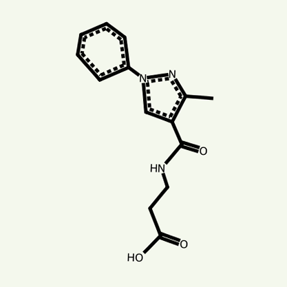 Cc1nn(-c2ccccc2)cc1C(=O)NCCC(=O)O